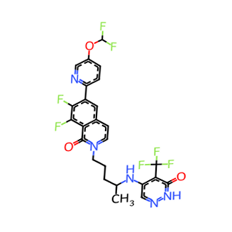 CC(CCCn1ccc2cc(-c3ccc(OC(F)F)cn3)c(F)c(F)c2c1=O)Nc1cn[nH]c(=O)c1C(F)(F)F